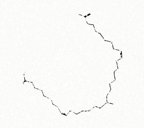 CC(CCCCCC/C=C\CCCCCCCC(N)=O)CCCCCCC/C=C\CCCCCCCC(N)=O